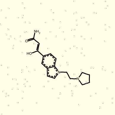 NC(=O)C=C(O)c1ccc2c(ccn2CCN2CCCC2)c1